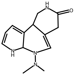 CN(C)N1C=C2CC(=O)NCC2C2=CC=CNC21